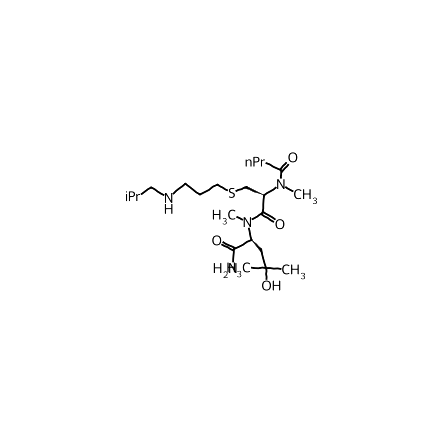 CCCC(=O)N(C)[C@H](CSCCCNCC(C)C)C(=O)N(C)[C@@H](CC(C)(C)O)C(N)=O